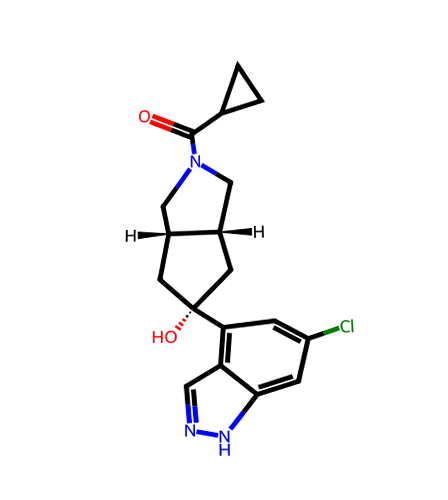 O=C(C1CC1)N1C[C@@H]2C[C@@](O)(c3cc(Cl)cc4[nH]ncc34)C[C@@H]2C1